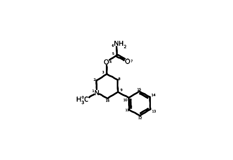 CN1CC(OC(N)=O)CC(c2ccccc2)C1